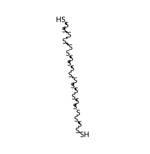 SSSSSSSSSSSSSSSSSSSSSS